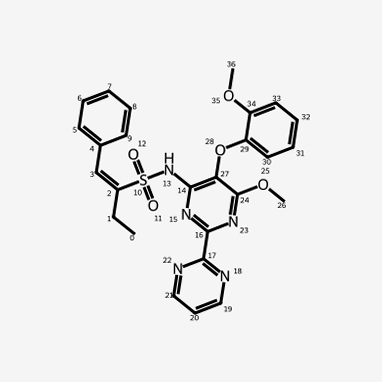 CCC(=Cc1ccccc1)S(=O)(=O)Nc1nc(-c2ncccn2)nc(OC)c1Oc1ccccc1OC